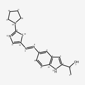 CC(O)c1cc2cc(/N=N/c3cnc(N4CCCC4)s3)ccc2[nH]1